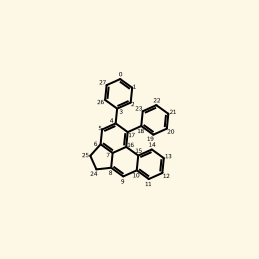 c1ccc(-c2cc3c4c(cc5ccccc5c4c2-c2ccccc2)CC3)cc1